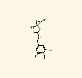 Fc1cc(COC2CNC3(C2)CC3Br)cc(F)c1F